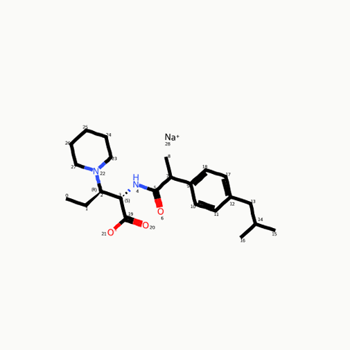 CC[C@H]([C@H](NC(=O)C(C)c1ccc(CC(C)C)cc1)C(=O)[O-])N1CCCCC1.[Na+]